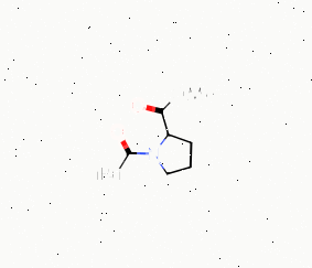 CCC(C)C(=O)N1CCCC1C(=O)OC